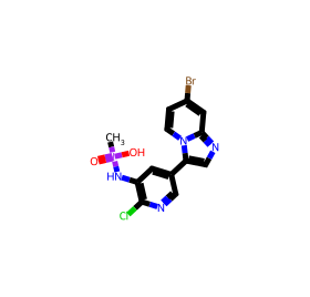 CI(=O)(O)Nc1cc(-c2cnc3cc(Br)ccn23)cnc1Cl